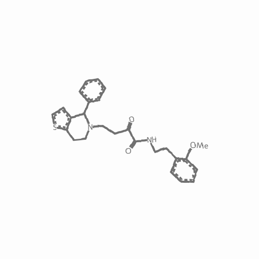 COc1ccccc1CCNC(=O)C(=O)CCN1CCc2sccc2C1c1ccccc1